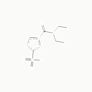 CCN(CC)C(=O)n1cnc(S(=O)(=O)Cl)n1